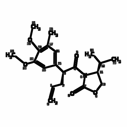 C=CC[C@H](C(=O)N1C(=O)OC[C@@H]1C(C)C)c1cc(C)c(OC)c(OC)c1